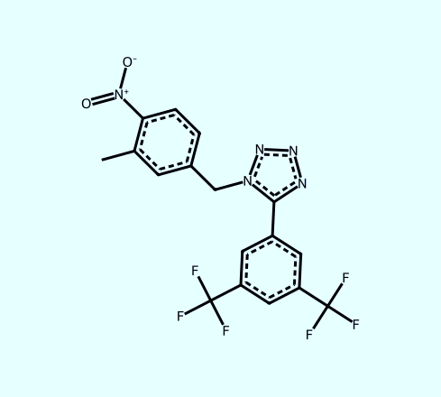 Cc1cc(Cn2nnnc2-c2cc(C(F)(F)F)cc(C(F)(F)F)c2)ccc1[N+](=O)[O-]